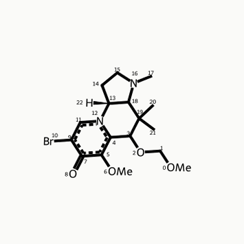 COCOC1c2c(OC)c(=O)c(Br)cn2[C@@H]2CCN(C)C2C1(C)C